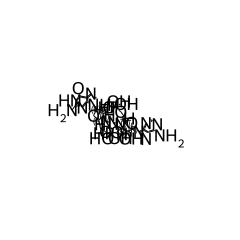 [N-]=[N+]=N[C@H]1[C@H]2O[PH](O)(O)OC[C@H]3O[C@@H](n4cnc5c(N)ncnc54)[C@H](O)[C@@H]3O[PH](O)(O)OC[C@H]1O[C@H]2n1cnc2c(=O)[nH]c(N)nc21